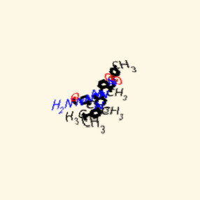 Cc1ccc(S(=O)(=O)n2cc(C)c3c(-c4nc5c(c(N6CCN(CC(N)=O)CC6C)n4)CN(c4cc(C(C)C)ccc4C)CC5)cccc32)cc1